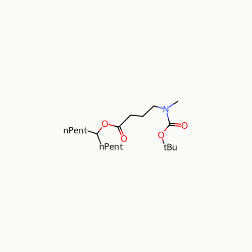 CCCCCC(CCCCC)OC(=O)CCCN(C)C(=O)OC(C)(C)C